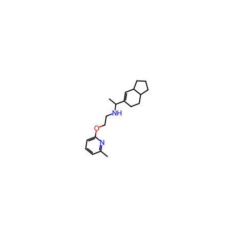 Cc1cccc(OCCNC(C)C2=CC3CCCC3CC2)n1